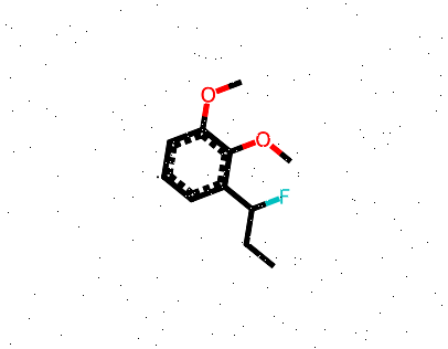 CCC(F)c1c[c]cc(OC)c1OC